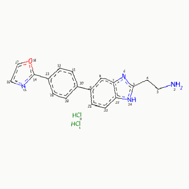 Cl.Cl.NCCc1nc2cc(-c3ccc(-c4ncco4)cc3)ccc2[nH]1